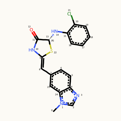 Cn1cnc2ccc(C=C3NC(=O)[C@H](Nc4ccccc4Cl)S3)cc21